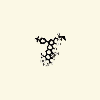 CN(C)C1C(O)=C(C(N)=O)C(=O)C2(O)C(O)=C3C(=O)c4c(O)c(CNC(=O)C5CC5)cc(-c5ccc(C(C)(C)C)cc5)c4CC3CC12